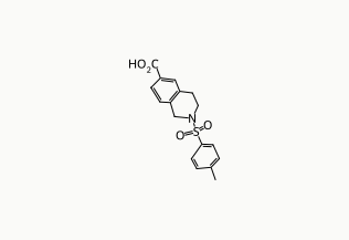 Cc1ccc(S(=O)(=O)N2CCc3cc(C(=O)O)ccc3C2)cc1